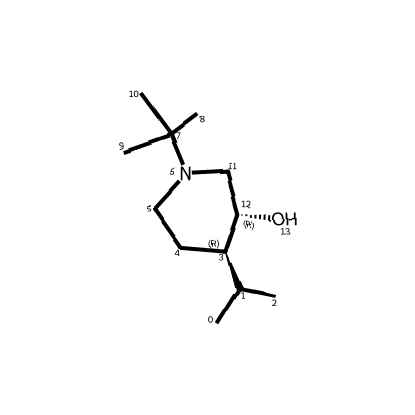 CC(C)[C@H]1CCN(C(C)(C)C)C[C@@H]1O